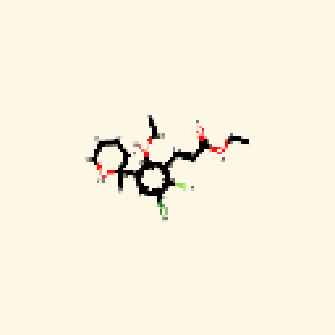 CCOC(=O)/C=C/c1c(F)c(Cl)cc(C2(C)CCCCO2)c1OCC